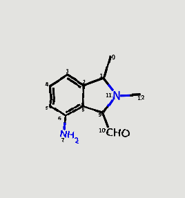 CC1c2cccc(N)c2C(C=O)N1C